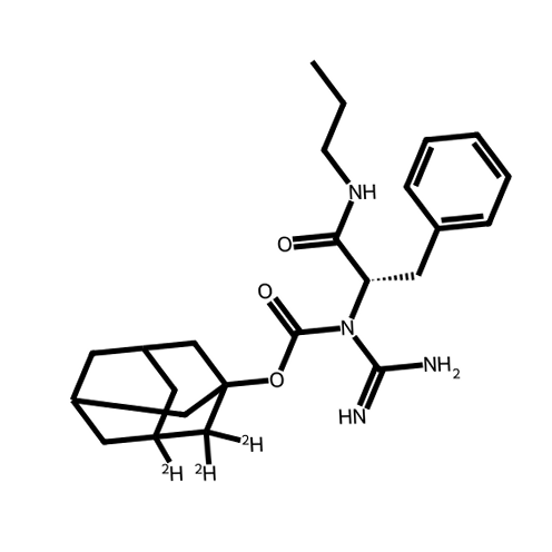 [2H]C12CC3CC(C1)CC(OC(=O)N(C(=N)N)[C@@H](Cc1ccccc1)C(=O)NCCC)(C3)C2([2H])[2H]